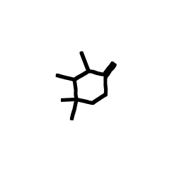 C=C1CCC(C)(C)C(C)C1C